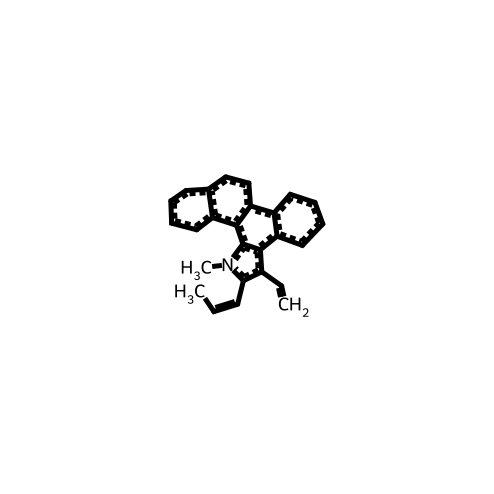 C=Cc1c(/C=C\C)n(C)c2c1c1ccccc1c1ccc3ccccc3c12